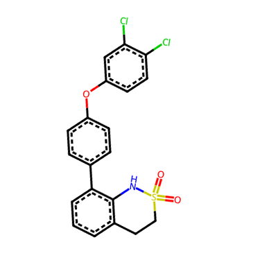 O=S1(=O)CCc2cccc(-c3ccc(Oc4ccc(Cl)c(Cl)c4)cc3)c2N1